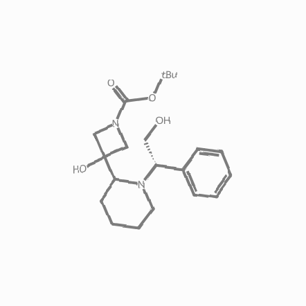 CC(C)(C)OC(=O)N1CC(O)(C2CCCCN2[C@H](CO)c2ccccc2)C1